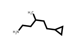 CC(CCN)CCC1CC1